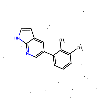 Cc1cccc(-c2cnc3[nH]ccc3c2)c1C